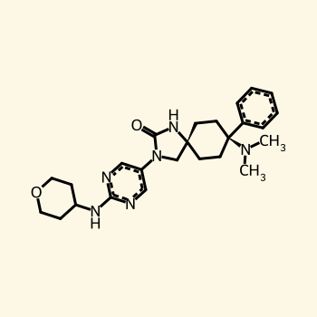 CN(C)[C@]1(c2ccccc2)CC[C@@]2(CC1)CN(c1cnc(NC3CCOCC3)nc1)C(=O)N2